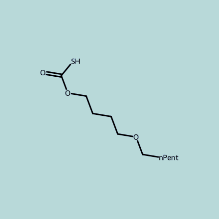 CCCCCCOCCCCOC(=O)S